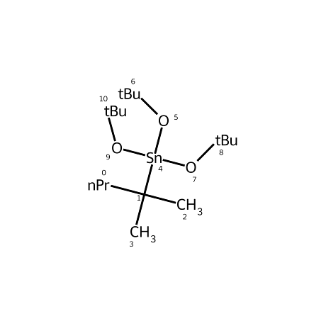 CCC[C](C)(C)[Sn]([O]C(C)(C)C)([O]C(C)(C)C)[O]C(C)(C)C